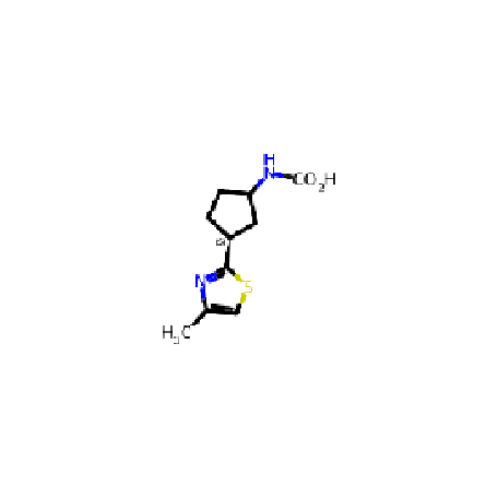 Cc1csc([C@H]2CCC(NC(=O)O)C2)n1